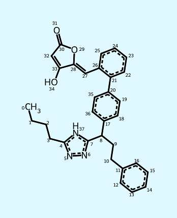 CCCCc1nnc(C(CCc2ccccc2)c2ccc(-c3ccccc3/C=C3\OC(=O)C=C3O)cc2)[nH]1